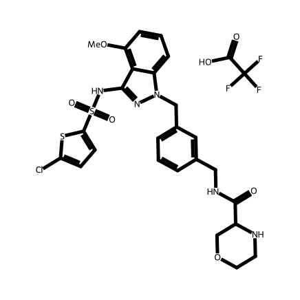 COc1cccc2c1c(NS(=O)(=O)c1ccc(Cl)s1)nn2Cc1cccc(CNC(=O)C2COCCN2)c1.O=C(O)C(F)(F)F